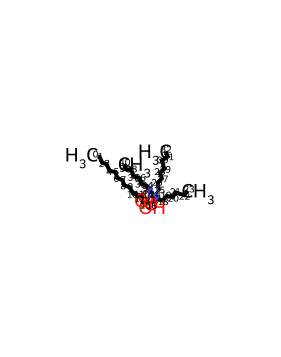 CCCCCCCCCCCCOP(=O)(O)OC(CCCCCC)N(CCCCCCCC)CCCCCCCC